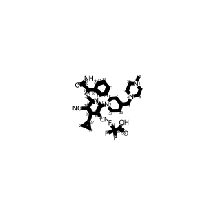 CN1CCN(CC2CCN(c3nc(SC(C(N)=O)c4ccccc4)c(C#N)c(C4CC4)c3C#N)CC2)CC1.O=C(O)C(F)(F)F